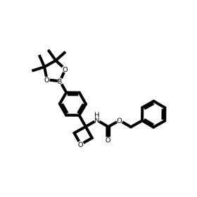 CC1(C)OB(c2ccc(C3(NC(=O)OCc4ccccc4)COC3)cc2)OC1(C)C